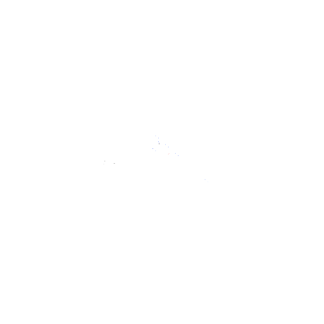 CCCCCCCCCSCCCCNC(=N)NC(=O)NCCCCCN1CCOCC1